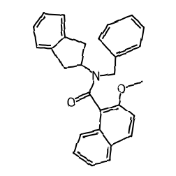 COc1ccc2ccccc2c1C(=O)N(Cc1ccccc1)C1Cc2ccccc2C1